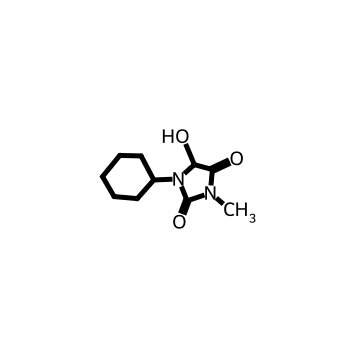 CN1C(=O)C(O)N(C2CCCCC2)C1=O